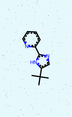 CC(C)(C)c1cnc(-c2ccccn2)[nH]1